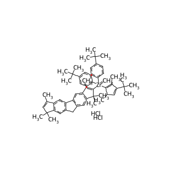 Cl.Cl.[CH2]=[Zr]([C]1=C(C)C(C(C)(C)C)=CC1C)([C]1=C(C)c2cc3c(cc2C1(C)C)Cc1cc2c(cc1-3)C(C)=CC2(C)C)([c]1ccc(C(C)(C)C)cc1)[c]1ccc(C(C)(C)C)cc1